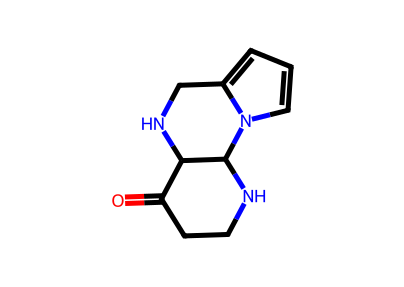 O=C1CCNC2C1NCc1cccn12